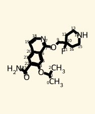 CC(C)Oc1cc2c(OCC3(F)CCNCC3)nccc2cc1C(N)=O